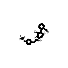 FC(F)(F)Sc1ccc(Cc2nc3c(Cl)c(-c4ccccc4C(F)(F)F)c(Cl)cc3[nH]2)cc1